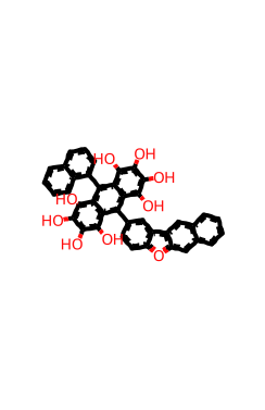 Oc1c(O)c(O)c2c(-c3cccc4ccccc34)c3c(O)c(O)c(O)c(O)c3c(-c3ccc4oc5cc6ccccc6cc5c4c3)c2c1O